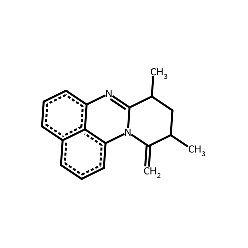 C=C1C(C)CC(C)C2=Nc3cccc4cccc(c34)N12